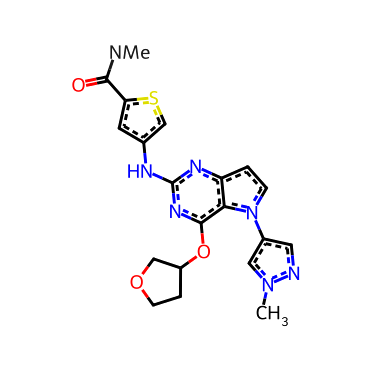 CNC(=O)c1cc(Nc2nc(OC3CCOC3)c3c(ccn3-c3cnn(C)c3)n2)cs1